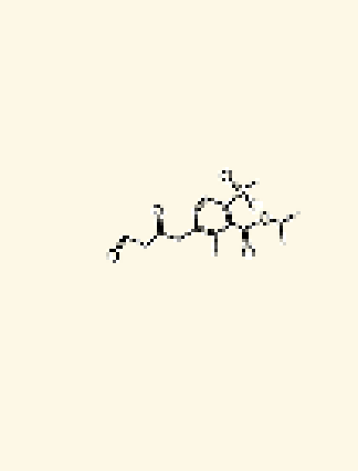 Cc1c(CC(=O)CC=O)ccc(S(C)(=O)=O)c1C(=O)OC(C)C